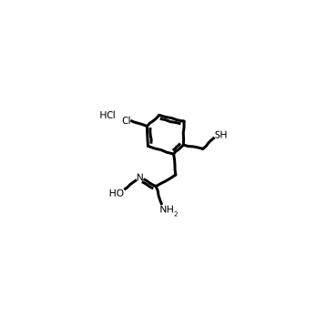 Cl.NC(Cc1cc(Cl)ccc1CS)=NO